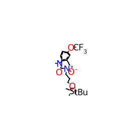 CN1C(=O)[N+]([O-])(CCCO[Si](C)(C)C(C)(C)C)Cc2cc(OC(F)(F)F)ccc21